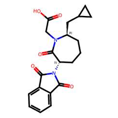 O=C(O)CN1C(=O)[C@@H](N2C(=O)c3ccccc3C2=O)CCC[C@@H]1CC1CC1